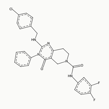 O=C(Nc1ccc(F)c(F)c1)N1CCc2nc(NCc3ccc(Cl)cc3)n(-c3ccccc3)c(=O)c2C1